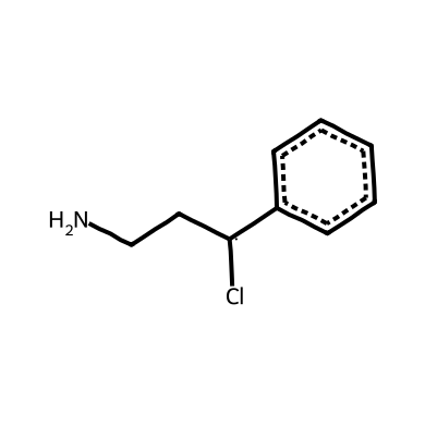 NCC[C](Cl)c1ccccc1